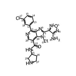 CCn1c(-c2nonc2N)nc2c(-c3cccc(Cl)c3)ncc(C(=O)NC3CCNC3)c21